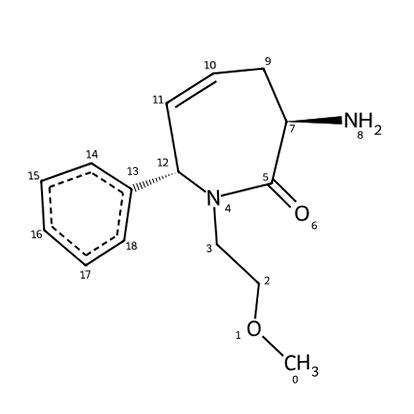 COCCN1C(=O)[C@H](N)CC=C[C@H]1c1ccccc1